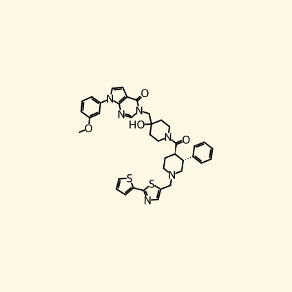 COc1cccc(-n2ccc3c(=O)n(CC4(O)CCN(C(=O)[C@@H]5CCN(Cc6cnc(-c7cccs7)s6)C[C@H]5c5ccccc5)CC4)cnc32)c1